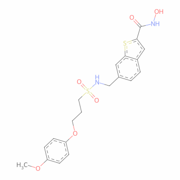 COc1ccc(OCCCS(=O)(=O)NCc2ccc3cc(C(=O)NO)sc3c2)cc1